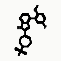 COc1ccc(F)cc1-c1ccnc2[nH]c(C3=CCCN(S(C)(=O)=O)CC3)cc12